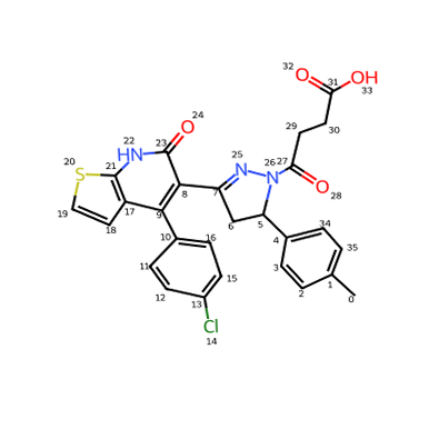 Cc1ccc(C2CC(c3c(-c4ccc(Cl)cc4)c4ccsc4[nH]c3=O)=NN2C(=O)CCC(=O)O)cc1